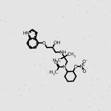 CC(=O)N(CC(C)(C)NCC(O)COc1cccc2[nH]ccc12)C1CCCCC1O[N+](=O)[O-]